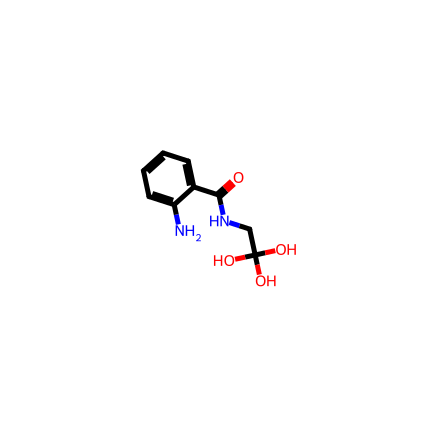 Nc1ccccc1C(=O)NCC(O)(O)O